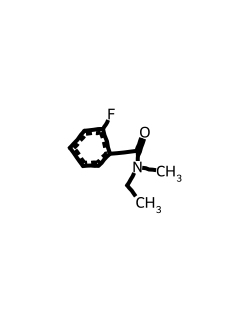 CCN(C)C(=O)c1ccccc1F